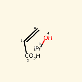 C=CC(=O)O.CC(C)O